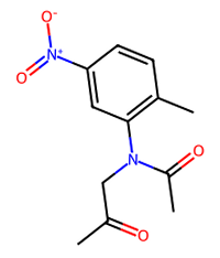 CC(=O)CN(C(C)=O)c1cc([N+](=O)[O-])ccc1C